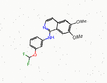 COc1cc2ccnc(Nc3cccc(OC(F)F)c3)c2cc1OC